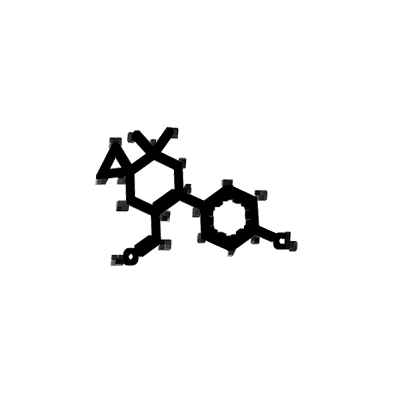 CC1(C)CC(c2ccc(Cl)cc2)=C(C=O)CC12CC2